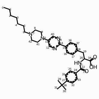 CCCCCCCN1CCN(c2cnc(-c3ccc(CC(NC(=O)c4ccc(C(C)(C)C)cc4)C(=O)O)cc3)nc2)CC1